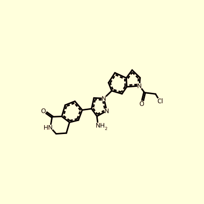 Nc1nn(-c2ccc3ccn(C(=O)CCl)c3c2)cc1-c1ccc2c(c1)CCNC2=O